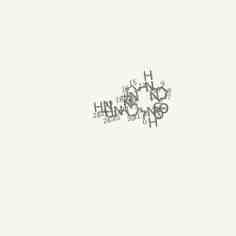 C=C1NS(=O)(=O)c2cccc(n2)NCC2CCC(C)(C)N2C2=NC(N/C=C\C(C)=N)=CCC12